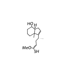 CO/C(S)=C\C[C@@H](C)C1=CC[C@H]2C(O)CCCC12C